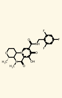 C[C@@H]1OCCC2C1N(C)C(=O)c1c(O)c(=O)c(C(=O)NCc3c(F)cc(F)cc3F)cn12